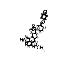 Cc1nc(C2CCC(C(N3CCCC(COc4ccc(Cl)cc4)C3)[SH](=O)=O)CC2)c2c(cnc3[nH]ccc32)n1